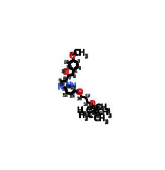 COc1ccc2cc(-c3cnc4ccc(OCCCO[Si](C)(C)C(C)(C)C)nn34)oc2c1